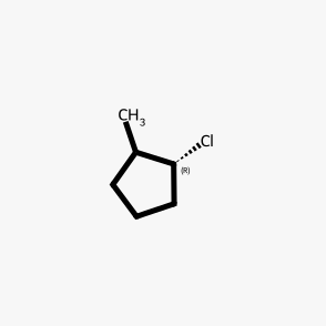 CC1CCC[C@H]1Cl